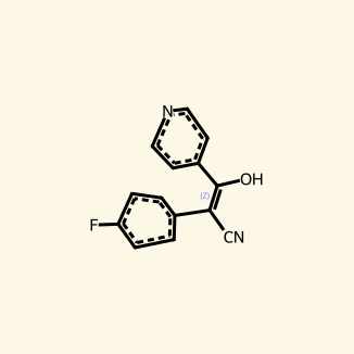 N#C/C(=C(\O)c1ccncc1)c1ccc(F)cc1